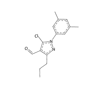 CCCc1nn(-c2cc(C)cc(C)c2)c(Cl)c1C=O